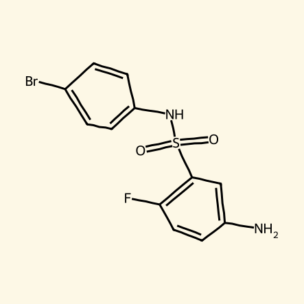 Nc1ccc(F)c(S(=O)(=O)Nc2ccc(Br)cc2)c1